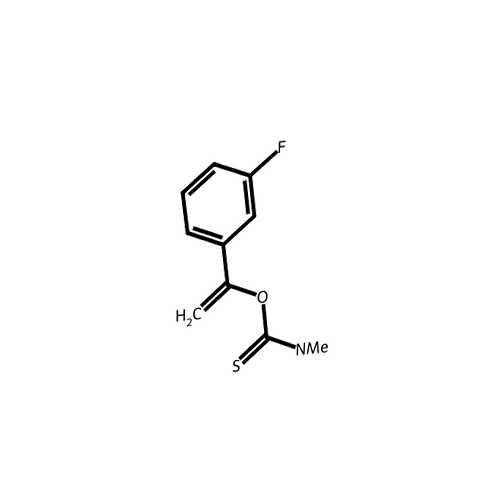 C=C(OC(=S)NC)c1cccc(F)c1